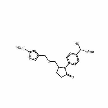 CCCCC[C@@H](O)c1ccc(N2C(=O)CCC2COCc2csc(C(=O)O)c2)cc1